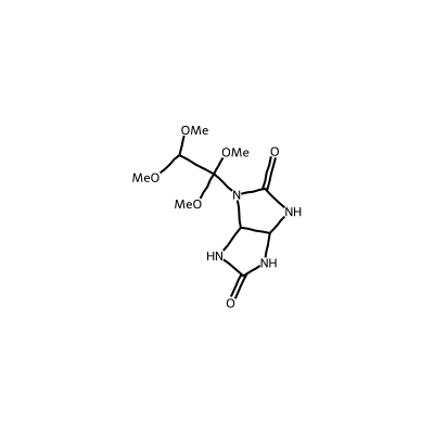 COC(OC)C(OC)(OC)N1C(=O)NC2NC(=O)NC21